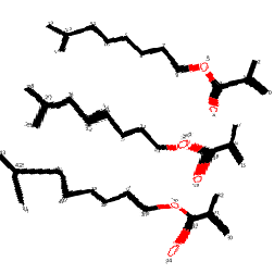 C=C(C)C(=O)OCCCCCCC(C)C.C=C(C)C(=O)OCCCCCCC(C)C.C=C(C)C(=O)OCCCCCCC(C)C